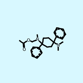 CC(=O)OCN(C)C1(c2ccccc2)CCC(c2ccccc2)(N(C)C)CC1